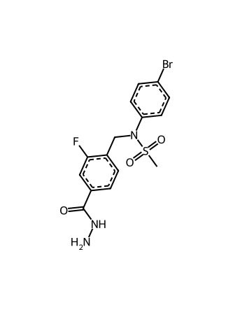 CS(=O)(=O)N(Cc1ccc(C(=O)NN)cc1F)c1ccc(Br)cc1